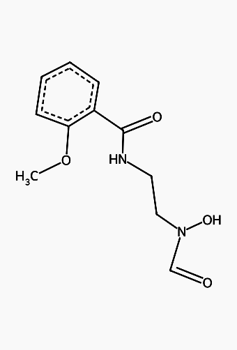 COc1ccccc1C(=O)NCCN(O)C=O